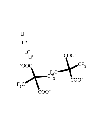 O=C([O-])C(C(=O)[O-])(C(F)(F)F)C(F)(F)F.O=C([O-])C(C(=O)[O-])(C(F)(F)F)C(F)(F)F.[Li+].[Li+].[Li+].[Li+]